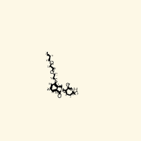 O=C1CCC(N2Cc3c(SCCOCCOCCI)cccc3C2=O)C(=O)N1